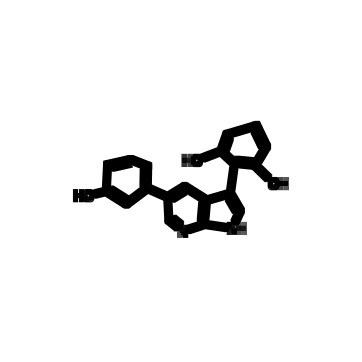 Oc1cccc(-c2cnc3[nH]cc(-c4c(O)cccc4O)c3c2)c1